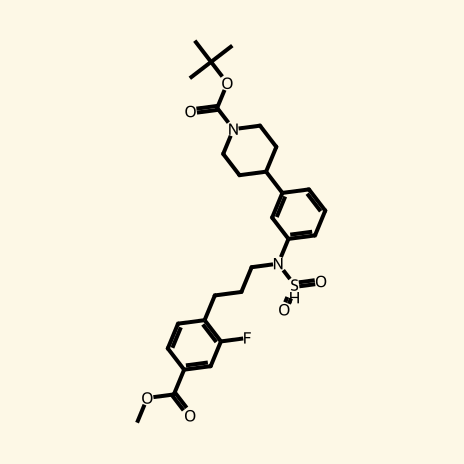 COC(=O)c1ccc(CCCN(c2cccc(C3CCN(C(=O)OC(C)(C)C)CC3)c2)[SH](=O)=O)c(F)c1